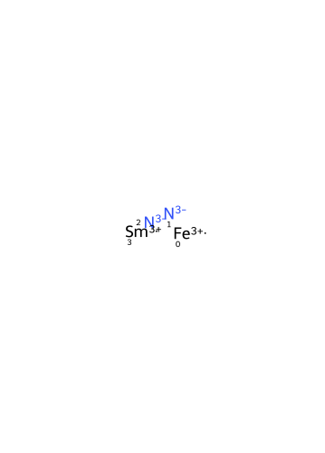 [Fe+3].[N-3].[N-3].[Sm+3]